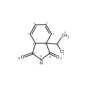 CC(Cl)C12C=CC=CC1C(=O)NC2=O